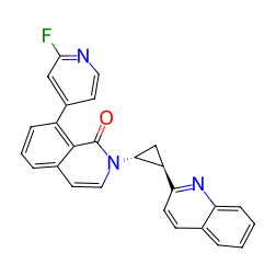 O=c1c2c(-c3ccnc(F)c3)cccc2ccn1[C@@H]1C[C@H]1c1ccc2ccccc2n1